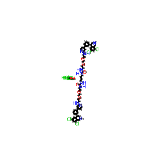 CN1Cc2c(Cl)cc(Cl)cc2[C@H](c2cccc(-c3ccnc(NCCOCCOCCNC(=O)NCCCCNC(=O)NCCOCCOCCNc4cc(-c5cccc([C@@H]6CN(C)Cc7c(Cl)cc(Cl)cc76)c5)ccn4)c3)c2)C1.Cl.Cl.Cl.Cl.Cl